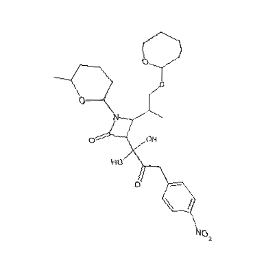 CC1CCCC(N2C(=O)C(C(O)(O)C(=O)Cc3ccc([N+](=O)[O-])cc3)C2C(C)COC2CCCCO2)O1